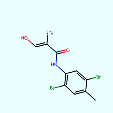 Cc1cc(Br)c(NC(=O)C(C#N)=CO)cc1Br